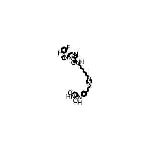 O=C1CCC(Nc2ccc(CCCN3CCN(CCCCCCCCNC(=O)c4cnn5ccc(N6CCC[C@@H]6c6cc(F)ccc6F)nc45)CC3)cc2)C(=O)N1